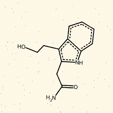 NC(=O)Cc1[nH]c2ccccc2c1CCO